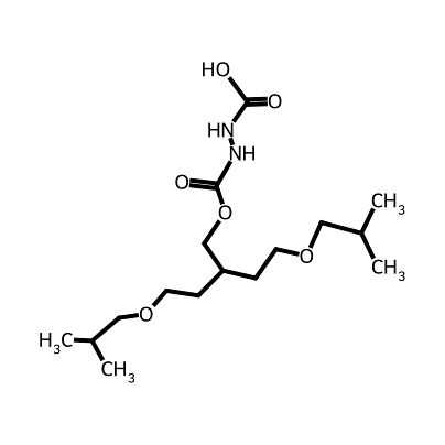 CC(C)COCCC(CCOCC(C)C)COC(=O)NNC(=O)O